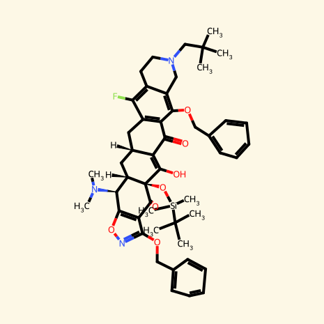 CN(C)[C@@H]1c2onc(OCc3ccccc3)c2C(=O)[C@@]2(O[Si](C)(C)C(C)(C)C)C(O)=C3C(=O)c4c(c(F)c5c(c4OCc4ccccc4)CN(CC(C)(C)C)CC5)C[C@H]3C[C@@H]12